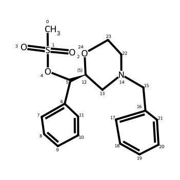 CS(=O)(=O)OC(c1ccccc1)[C@@H]1CN(Cc2ccccc2)CCO1